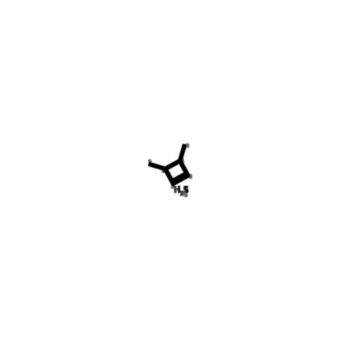 CC1C=CC1C.S